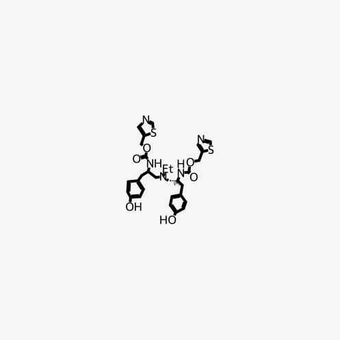 CCN(CC(Cc1ccc(O)cc1)NC(=O)OCc1cncs1)C[C@@H](Cc1ccc(O)cc1)NC(=O)OCc1cncs1